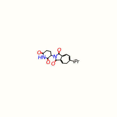 CC(C)C1=CC=C2C(=O)N(C3CCC(=O)NC3=O)C(=O)C2=CC1